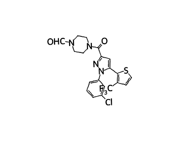 O=CN1CCN(C(=O)c2cc(-c3sccc3C(F)(F)F)n(-c3cccc(Cl)c3)n2)CC1